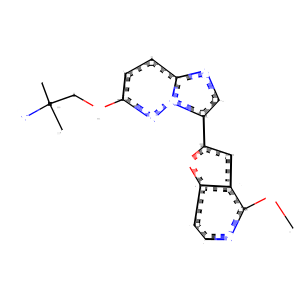 COc1nccc2oc(-c3cnc4ccc(OCC(C)(C)N)nn34)cc12